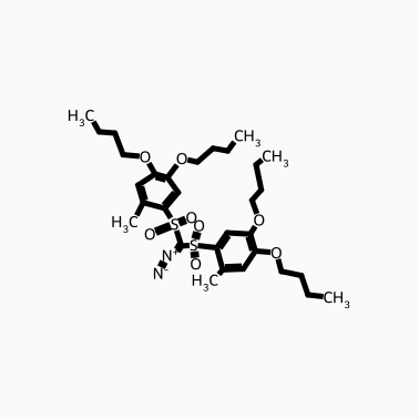 CCCCOc1cc(C)c(S(=O)(=O)C(=[N+]=[N-])S(=O)(=O)c2cc(OCCCC)c(OCCCC)cc2C)cc1OCCCC